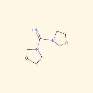 N=C(N1CCOC1)N1CCOC1